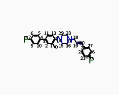 Cc1cc(-c2ccc(F)cc2)ccc1N1CCN(C/C=C/c2ccc(F)cc2)CC1